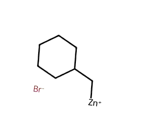 [Br-].[Zn+][CH2]C1CCCCC1